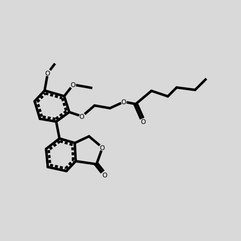 CCCCCC(=O)OCCOc1c(-c2cccc3c2COC3=O)ccc(OC)c1OC